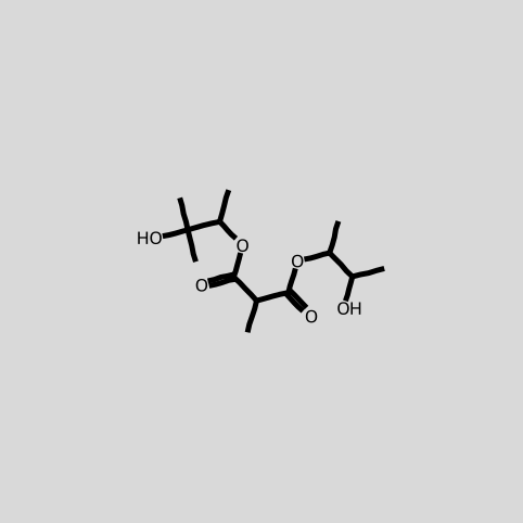 CC(C(=O)OC(C)C(C)O)C(=O)OC(C)C(C)(C)O